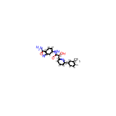 Nc1onc2cc(NC(=O)C(O)c3cccc(-c4cccc(C(F)(F)F)c4)n3)ccc12